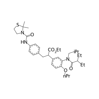 CCCOc1ccc(C(Cc2ccc(NC(=O)N3CCSC3(C)C)cc2)C(=O)OCC)cc1N(CC(C)C)C(=O)C(CC)CC